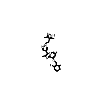 Cc1cc(OCc2c(F)cccc2F)c2nc(C)c(-c3cnn(CCc4c(C)n[nH]c4C)c3)n2c1